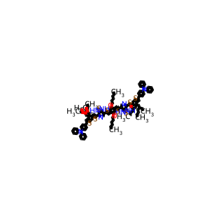 CCCCCCOc1c2cc(C3=CN=C(c4cc5c(s4)-c4sc(-c6ccc(N(c7ccccc7)c7ccccc7)cc6)cc4C5(CC(CC)CCCC)CC(CC)CCCC)C4NSNC34)sc2c(OCCCCCC)c2cc(C3=CN=C(c4cc5c(s4)-c4sc(-c6ccc(N(C7=CCCC=C7)C7=CC=CCC7)cc6)cc4C5(CC(CC)CCCC)CC(CC)CCCC)C4NSNC34)sc12